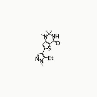 CCc1c(-c2cc3c(s2)C(=O)NC(C)(C)N3C)cnn1C